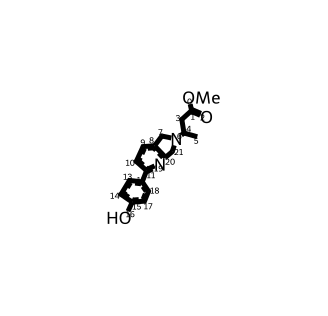 COC(=O)CC(C)N1Cc2ccc(-c3ccc(O)cc3)nc2C1